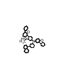 C[SiH]1c2ccc3c(oc4ccccc43)c2C2C=CC(N(C3=CC(c4cccc5ccccc45)=CCC3)c3ccc4c(c3)C3C=CC=CC3O4)=CC21